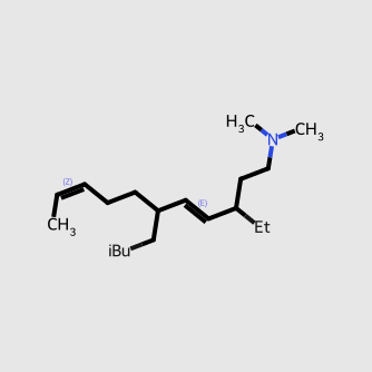 C/C=C\CCC(/C=C/C(CC)CCN(C)C)CC(C)CC